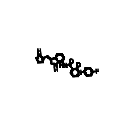 O=C(Nc1cccc2c1NCC2=Cc1ccc[nH]1)c1cccn(-c2ccc(F)cc2)c1=O